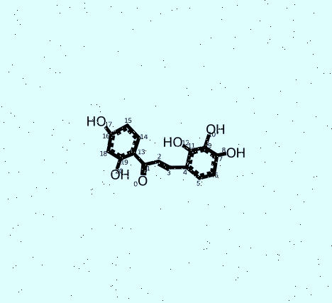 O=C(/C=C/c1ccc(O)c(O)c1O)c1ccc(O)cc1O